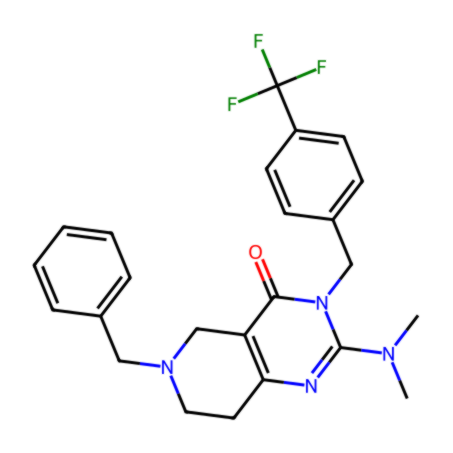 CN(C)c1nc2c(c(=O)n1Cc1ccc(C(F)(F)F)cc1)CN(Cc1ccccc1)CC2